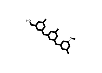 CO[C@@H]1CC(C)CC(CC2CC(C)CC(CC3CC(C)CC(CO)C3)C2)C1